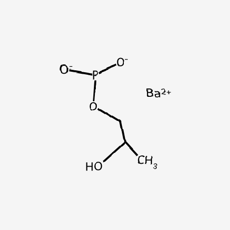 CC(O)COP([O-])[O-].[Ba+2]